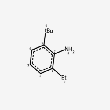 CCc1cccc(C(C)(C)C)c1N